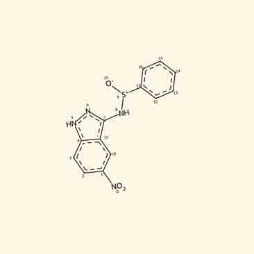 O=[N+]([O-])c1ccc2[nH]nc(N[S+]([O-])c3ccccc3)c2c1